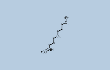 CCOCCCOCCCNC(C)(C)C